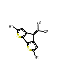 CC(C)c1cc2c(s1)-c1sc(C(C)C)cc1C2=C(C#N)C#N